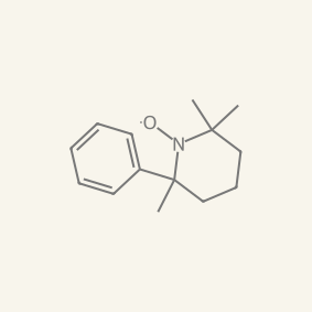 CC1(C)CCCC(C)(c2ccccc2)N1[O]